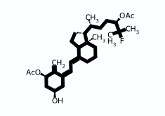 C=C1/C(=C\C=C2CCC[C@@]3(C)C2CC[C@@H]3[C@H](C)CC[C@@H](OC(C)=O)C(C)(C)F)C[C@@H](O)C[C@H]1OC(C)=O